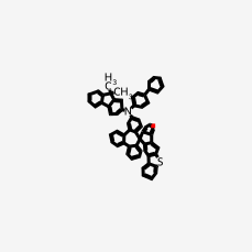 CC1(C)c2ccccc2-c2ccc(N(c3ccc(-c4ccccc4)cc3)c3ccc4c(c3)-c3ccccc3-c3ccccc3C43c4ccccc4-c4cc5sc6ccccc6c5cc43)cc21